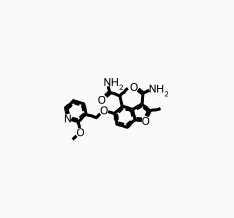 COc1ncccc1COc1ccc2oc(C)c(C(N)=O)c2c1C(C)C(N)=O